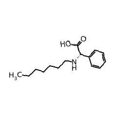 CCCCCCCN[C@H](C(=O)O)c1ccccc1